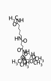 CNC(=O)CCCCCNC(=O)CCC(=O)NC[C@@]12OC[C@H]3OC(C)(C)O[C@H]3[C@@H]1OC(C)(C)O2